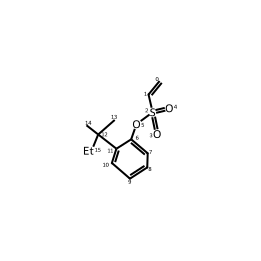 C=CS(=O)(=O)Oc1ccccc1C(C)(C)CC